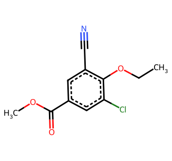 CCOc1c(Cl)cc(C(=O)OC)cc1C#N